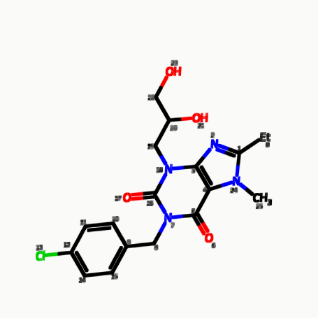 CCc1nc2c(c(=O)n(Cc3ccc(Cl)cc3)c(=O)n2CC(O)CO)n1C